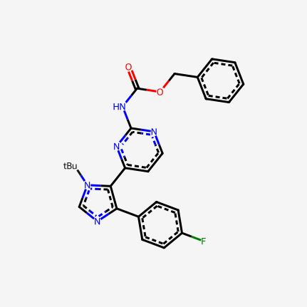 CC(C)(C)n1cnc(-c2ccc(F)cc2)c1-c1ccnc(NC(=O)OCc2ccccc2)n1